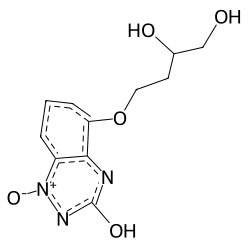 [O-][n+]1nc(O)nc2c(OCCC(O)CO)cccc21